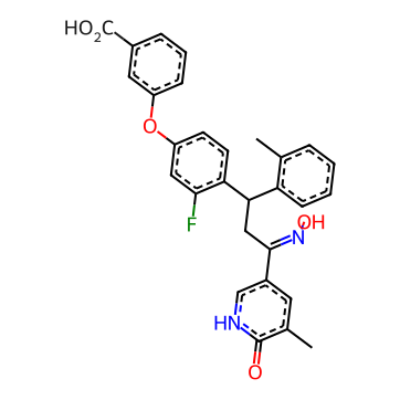 Cc1ccccc1C(C/C(=N\O)c1c[nH]c(=O)c(C)c1)c1ccc(Oc2cccc(C(=O)O)c2)cc1F